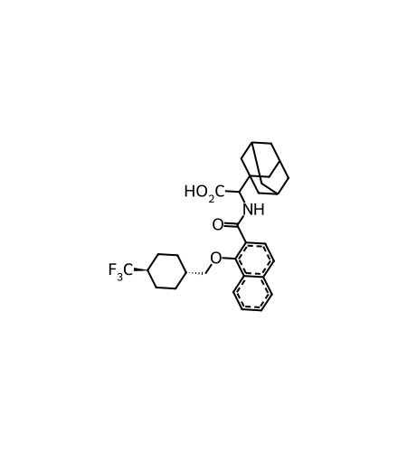 O=C(NC(C(=O)O)C12CC3CC(CC(C3)C1)C2)c1ccc2ccccc2c1OC[C@H]1CC[C@H](C(F)(F)F)CC1